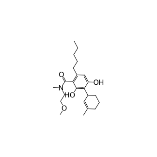 CCCCCc1cc(O)c(C2C=C(C)CCC2)c(O)c1C(=O)N(C)CCOC